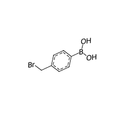 OB(O)c1ccc(CBr)cc1